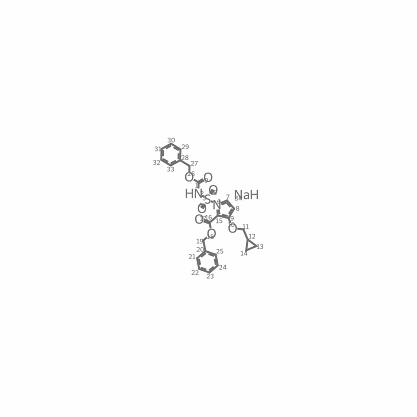 O=C(NS(=O)(=O)n1ccc(OCC2CC2)c1C(=O)OCc1ccccc1)OCc1ccccc1.[NaH]